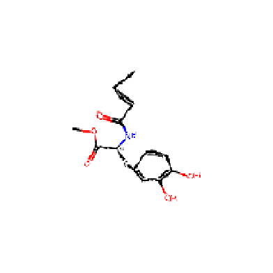 CC=CC(=O)N[C@@H](Cc1ccc(O)c(O)c1)C(=O)OC